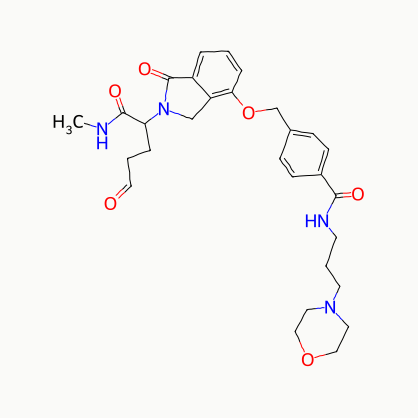 CNC(=O)C(CCC=O)N1Cc2c(OCc3ccc(C(=O)NCCCN4CCOCC4)cc3)cccc2C1=O